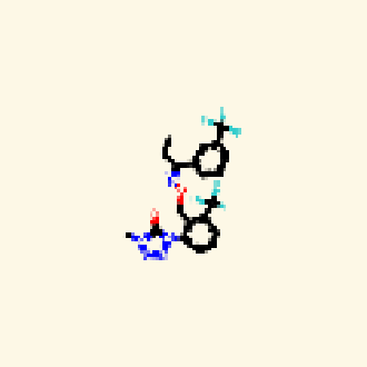 CC/C(=N/OCc1c(-n2nnn(C)c2=O)cccc1C(F)(F)F)c1cccc(C(F)(F)F)c1